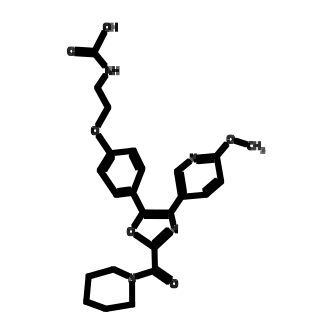 COc1ccc(-c2nc(C(=O)N3CCCCC3)oc2-c2ccc(OCCNC(=O)O)cc2)cn1